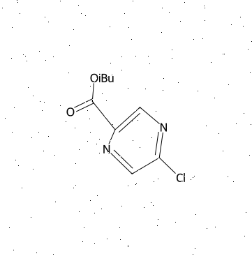 CC(C)COC(=O)c1cnc(Cl)cn1